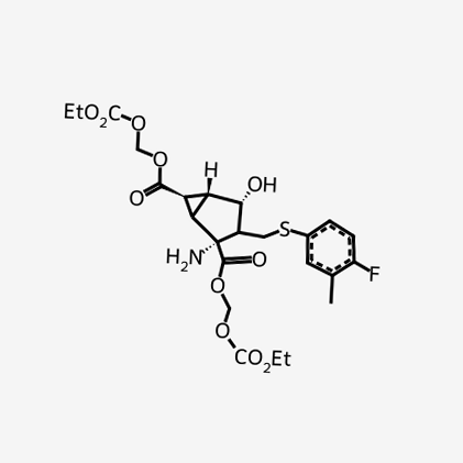 CCOC(=O)OCOC(=O)[C@@H]1C2[C@H]1[C@H](O)C(CSc1ccc(F)c(C)c1)[C@@]2(N)C(=O)OCOC(=O)OCC